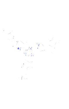 CCCCCCCCCCCCc1ccc(-c2nc(-c3ccc(-c4c(C)cc(C)cc4C)cn3)nc(-c3ccc(-c4c(C)cc(C)cc4C)cn3)n2)cc1